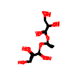 C=C(OC(O)C(O)CO)OC(O)C(O)CO